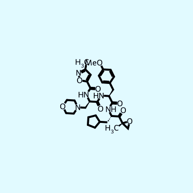 COc1ccc(C[C@H](NC(=O)[C@@H](CN2CCOCC2)NC(=O)c2cc(C)no2)C(=O)N[C@@H](CC2CCCC2)C(=O)[C@@]2(C)CO2)cc1